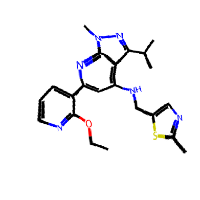 CCOc1ncccc1-c1cc(NCc2cnc(C)s2)c2c(C(C)C)nn(C)c2n1